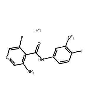 Cl.Nc1cncc(F)c1C(=O)Nc1ccc(F)c(C(F)(F)F)c1